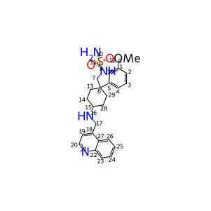 COc1cccc(C2(CNS(N)(=O)=O)CCC(NCc3ccnc4ccccc34)CC2)c1